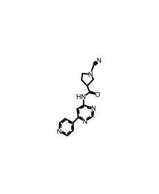 N#CN1CCC(C(=O)Nc2cc(-c3ccncc3)ncn2)C1